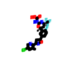 Cc1cc(Cl)cnc1-c1cc(-c2ccc(F)c([C@]3(C)C[C@@H](C(F)(F)F)N=C(NC(=O)O)O3)c2)on1